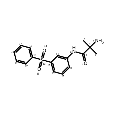 CC(C)(N)C(=O)Nc1cccc(S(=O)(=O)c2ccccc2)c1